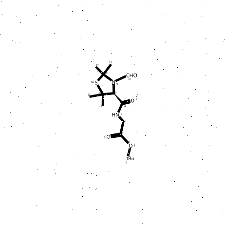 CC(C)(C)OC(=O)CNC(=O)[C@@H]1N(C=O)C(C)(C)SC1(C)C